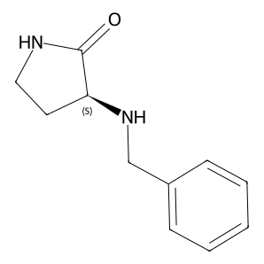 O=C1NCC[C@@H]1NCc1ccccc1